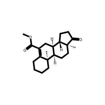 COC(=O)C1=C2CCCC[C@]2(C)[C@@H]2CC[C@]3(C)C(=O)CC[C@H]3[C@@H]2C1